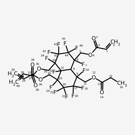 C=CC(=O)OCC1(F)C2C(F)(COC(=O)CC)C(F)(F)C(F)(F)C(F)(COC(=O)C=C)C2(F)C(F)(COC(=O)C=C)C(F)(F)C1(F)F